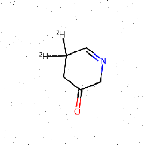 [2H]C1([2H])C=NCC(=O)C1